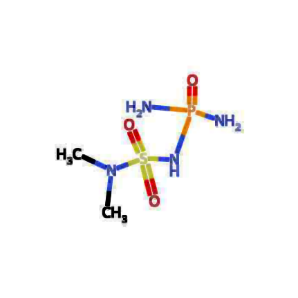 CN(C)S(=O)(=O)NP(N)(N)=O